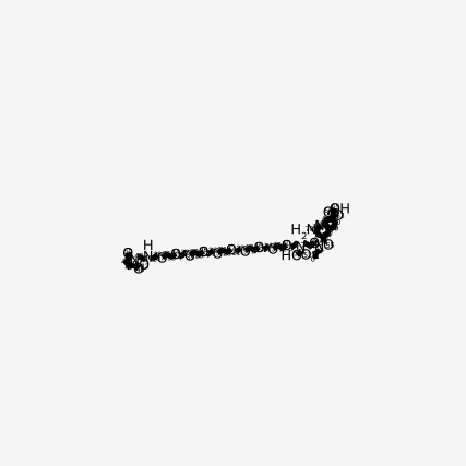 CCCN(OCCN(CCOCCOCCOCCOCCOCCOCCOCCOCCOCCOCCNC(=O)CN1C(=O)C=CC1=O)C(=O)O)C(=O)C1=Cc2ccc(S(=O)(=O)O)cc2N=C(N)C1